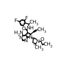 C=CC(=O)N1C[C@H](n2c(C#CC)c(C(=O)NC(C)c3ccc(F)cc3F)c3c(N)ncnc32)C[C@@H]1C